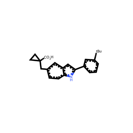 CC(C)(C)c1cccc(-c2cc3cc(CC4(C(=O)O)CC4)ccc3[nH]2)c1